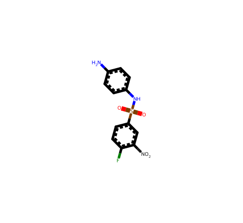 Nc1ccc(NS(=O)(=O)c2ccc(F)c([N+](=O)[O-])c2)cc1